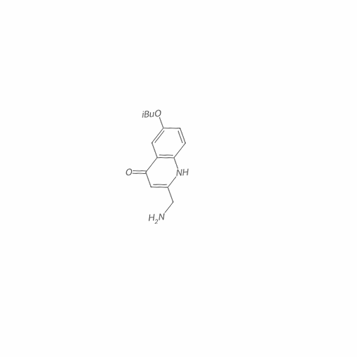 CC(C)COc1ccc2[nH]c(CN)cc(=O)c2c1